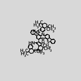 Cc1cc2c(cc1N1c3ccc4c(sc5ccccc54)c3Bc3c(-c4cc5c6cc4Nc4ccc7c(c4)C(C)(CCC7(C)C)CC6(C)CCC5(C)C)cc4c(oc5ccccc54)c31)C(C)(C)CCC2(C)C